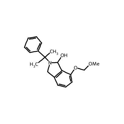 COCOc1cccc2c1C(O)N(C(C)(C)c1ccccc1)C2